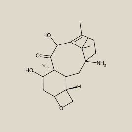 CC1=C2C(O)C(=O)[C@]3(C)C(O)CC4OC[C@H]4C3CC(N)(CC1)C2(C)C